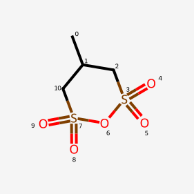 CC1CS(=O)(=O)OS(=O)(=O)C1